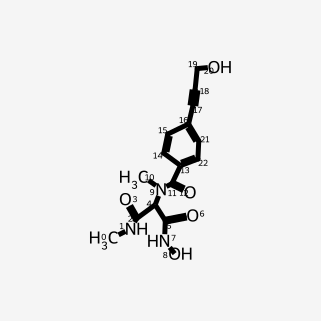 CNC(=O)C(C(=O)NO)N(C)C(=O)c1ccc(C#CCO)cc1